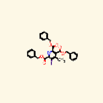 Cc1c(I)c(C(=O)OCc2ccccc2)nc(C(=O)OCc2ccccc2)c1C(=O)OCc1ccccc1